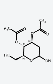 CC(=O)O[C@@H]1[C@@H](OC(C)=O)CC(O)O[C@H]1CO